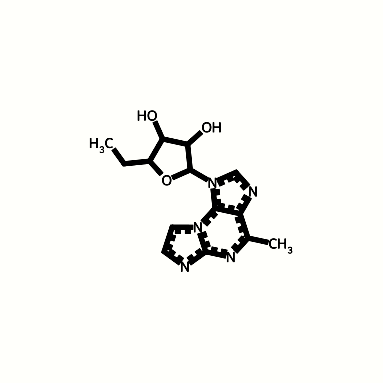 CCC1OC(n2cnc3c(C)nc4nccn4c32)C(O)C1O